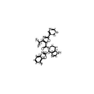 O=C(c1oc(-c2cncnc2)nc1C(F)F)N1CCc2[nH]cnc2[C@H]1c1nc2cccc(F)c2o1